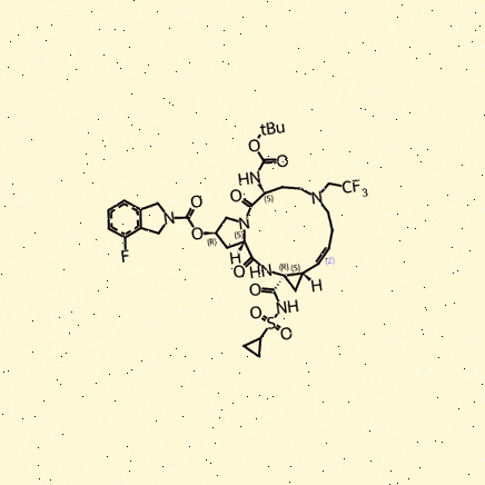 CC(C)(C)OC(=O)N[C@H]1CCN(CC(F)(F)F)CC/C=C\[C@@H]2C[C@@]2(C(=O)NS(=O)(=O)C2CC2)NC(=O)[C@@H]2C[C@@H](OC(=O)N3Cc4cccc(F)c4C3)CN2C1=O